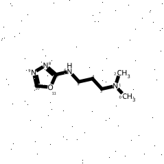 CN(C)CCCNc1nn[c]o1